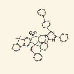 CC1(C)c2ccccc2-c2cc3c(cc21)S(=O)(=O)c1ccccc1C31c2ccccc2-c2ccccc2-c2ccc(-c3nc(-c4ccccc4)nc(-c4ccc(-c5ccccc5)cc4)n3)cc21